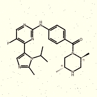 Cc1ncc(-c2nc(Nc3ccc(C(=O)N4C[C@@H](C)NC[C@@H]4C)cc3)ncc2F)n1C(C)C